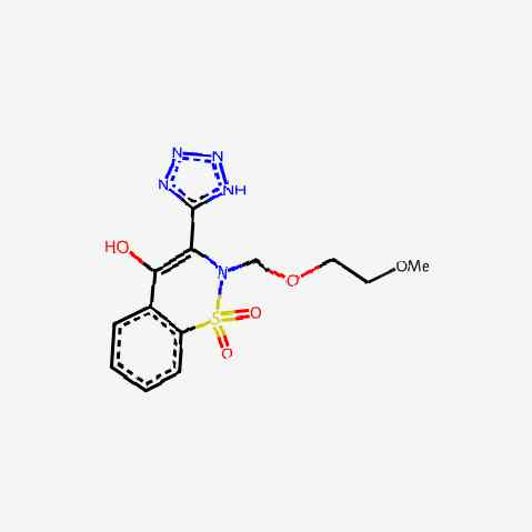 COCCOCN1C(c2nnn[nH]2)=C(O)c2ccccc2S1(=O)=O